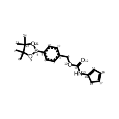 CC1(C)OB(c2ccc(COC(=O)NC3=CC=CC3)cc2)OC1(C)C